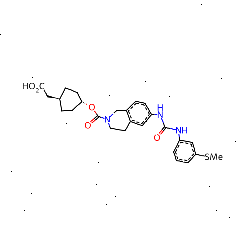 CSc1cccc(NC(=O)Nc2ccc3c(c2)CCN(C(=O)O[C@H]2CC[C@H](CC(=O)O)CC2)C3)c1